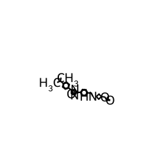 CC(C)c1ccc(-c2nc(-c3ccc(CNC4CC(OC=O)C4)cc3)no2)cc1